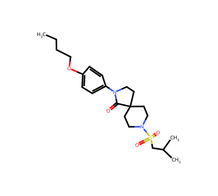 CCCCOc1ccc(N2CCC3(CCN(S(=O)(=O)CC(C)C)CC3)C2=O)cc1